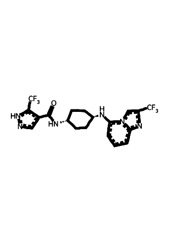 O=C(N[C@H]1CC[C@@H](Nc2cccc3nc(C(F)(F)F)cn23)CC1)c1cn[nH]c1C(F)(F)F